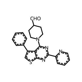 O=CC1CCN(c2nc(-c3ccccn3)nc3scc(-c4ccccc4)c23)CC1